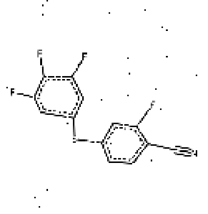 N#Cc1ccc(Sc2cc(F)c(F)c(F)c2)cc1F